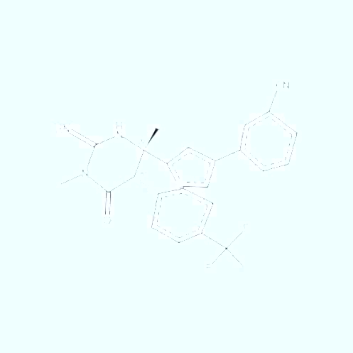 CN1C(=N)N[C@](C)(c2cc(-c3cccc(C#N)c3)cs2)[C@H](c2ccc(C(C)(F)F)cc2)C1=O